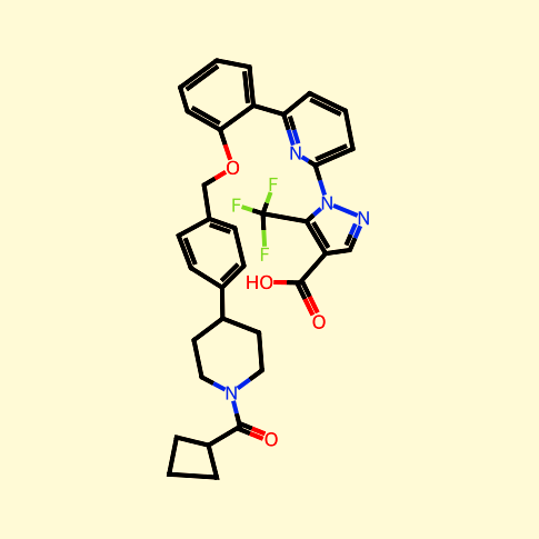 O=C(O)c1cnn(-c2cccc(-c3ccccc3OCc3ccc(C4CCN(C(=O)C5CCC5)CC4)cc3)n2)c1C(F)(F)F